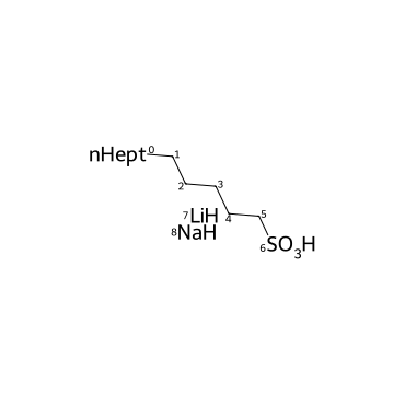 CCCCCCCCCCCCS(=O)(=O)O.[LiH].[NaH]